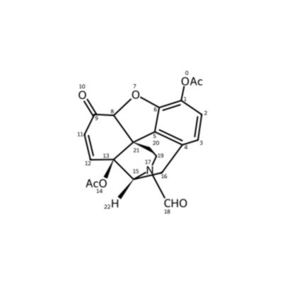 CC(=O)Oc1ccc2c3c1OC1C(=O)C=C[C@@]4(OC(C)=O)[C@@H](C2)N(C=O)CC[C@]314